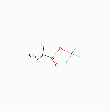 C.C=C(C)C(=O)OC(F)(F)F